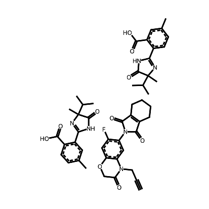 C#CCN1C(=O)COc2cc(F)c(N3C(=O)C4=C(CCCC4)C3=O)cc21.Cc1ccc(C(=O)O)c(C2=NC(C)(C(C)C)C(=O)N2)c1.Cc1ccc(C2=NC(C)(C(C)C)C(=O)N2)c(C(=O)O)c1